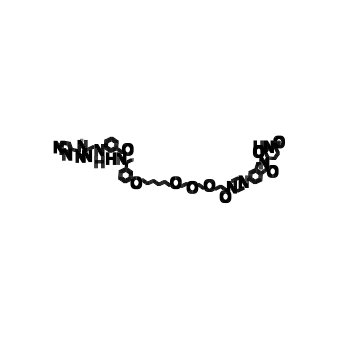 CC(NC(=O)c1cccc(NCc2nnc(-c3ccncn3)n2C)c1)c1cccc(OCCCCCCOCCOCCOCCC(=O)N2CCN(c3ccc4c(c3)CN(C3CCC(=O)NC3=O)C4=O)CC2)c1